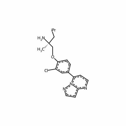 CC(C)C[C@](C)(N)COc1ccc(-c2ccnc3ccnn23)cc1Cl